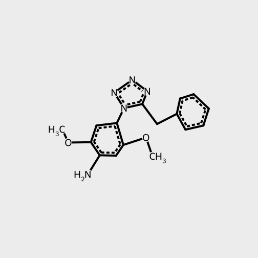 COc1cc(-n2nnnc2Cc2ccccc2)c(OC)cc1N